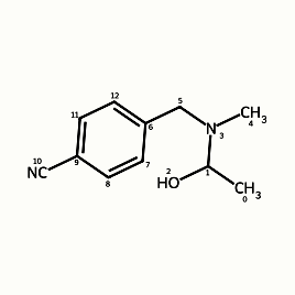 CC(O)N(C)Cc1ccc(C#N)cc1